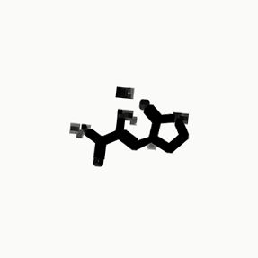 Cl.NC(=O)C(N)=C[C@@H]1CCNC1=O